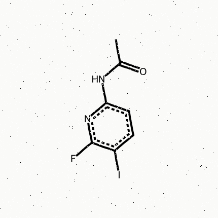 CC(=O)Nc1ccc(I)c(F)n1